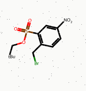 CC(C)(C)COS(=O)(=O)c1cc([N+](=O)[O-])ccc1CBr